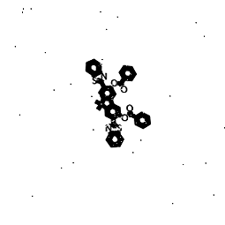 CC1(C)c2cc(-c3nc4ccccc4s3)c(OC(=O)c3ccccc3)cc2-c2cc(OC(=O)c3ccccc3)c(-c3nc4ccccc4s3)cc21